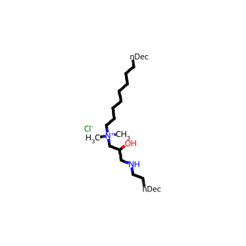 CCCCCCCCCCCCCCCCCC[N+](C)(C)CC(O)CNCCCCCCCCCCCC.[Cl-]